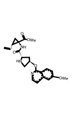 C=C[C@@H]1C[C@]1(NC(=O)[C@@H]1C[C@@H](Oc2nccc3cc(OC)ccc23)CN1)C(=O)OC